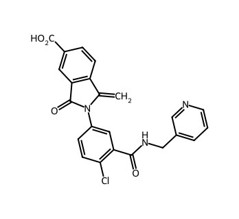 C=C1c2ccc(C(=O)O)cc2C(=O)N1c1ccc(Cl)c(C(=O)NCc2cccnc2)c1